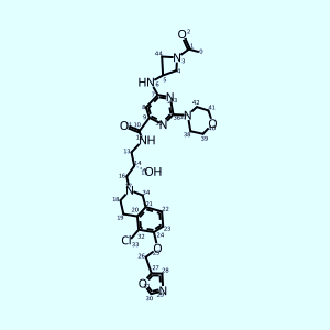 CC(=O)N1CC(Nc2cc(C(=O)NC[C@H](O)CN3CCc4c(ccc(OCc5cnco5)c4Cl)C3)nc(N3CCOCC3)n2)C1